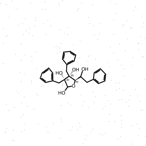 OC(Cc1ccccc1)[C@H]1OC(O)[C@@](O)(Cc2ccccc2)[C@@]1(O)Cc1ccccc1